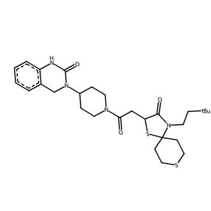 CC(C)(C)CCN1C(=O)C(CC(=O)N2CCC(N3Cc4ccccc4NC3=O)CC2)SC12CCSCC2